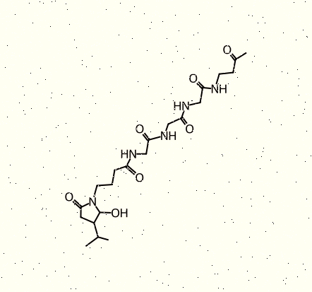 CC(=O)CCNC(=O)CNC(=O)CNC(=O)CNC(=O)CCCN1C(=O)CC(C(C)C)C1O